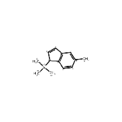 Cc1ccc2c(c1)C=CC2[Si](C)(C)C